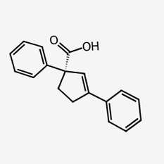 O=C(O)[C@]1(c2ccccc2)C=C(c2ccccc2)CC1